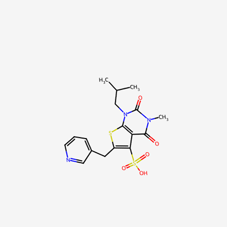 CC(C)Cn1c(=O)n(C)c(=O)c2c(S(=O)(=O)O)c(Cc3cccnc3)sc21